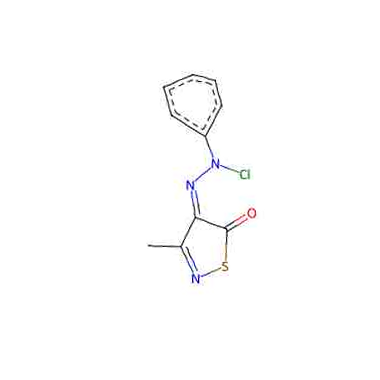 CC1=NSC(=O)C1=NN(Cl)c1ccccc1